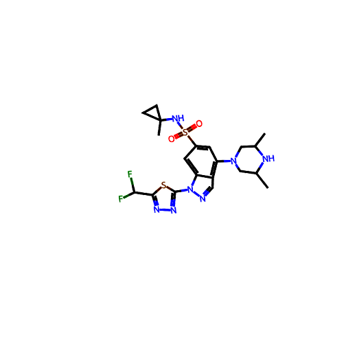 CC1CN(c2cc(S(=O)(=O)NC3(C)CC3)cc3c2cnn3-c2nnc(C(F)F)s2)CC(C)N1